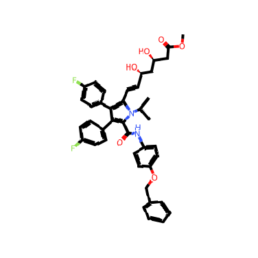 COC(=O)C[C@H](O)C[C@H](O)C=Cc1c(-c2ccc(F)cc2)c(-c2ccc(F)cc2)c(C(=O)Nc2ccc(OCc3ccccc3)cc2)n1C(C)C